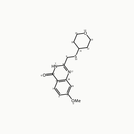 COc1ccc2c(=O)[nH]c(CSC3CCOCC3)nc2c1